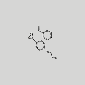 C1=C(c2ccccc2)O1.C=CC=C.C=Cc1ccccc1